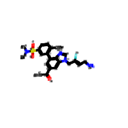 CCN(CC)S(=O)(=O)c1ccc(OC)c(-c2cc(C(=O)OC)cc3c2ncn3C/C(F)=C/CN)c1